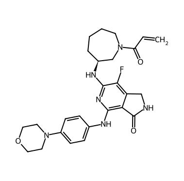 C=CC(=O)N1CCCC[C@H](Nc2nc(Nc3ccc(N4CCOCC4)cc3)c3c(c2F)CNC3=O)C1